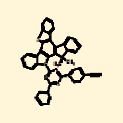 CC1(C)c2ccccc2-c2c1c1c(c3ccccc3n1-c1nc(-c3ccccc3)nc(-c3ccc(C#N)cc3)n1)c1sc3ccccc3c21